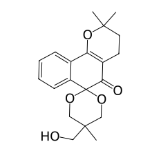 CC1(CO)COC2(OC1)C(=O)C1=C(OC(C)(C)CC1)c1ccccc12